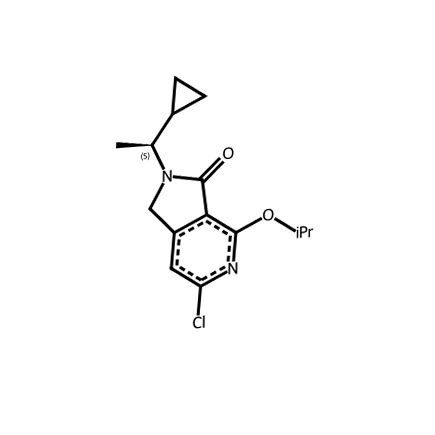 CC(C)Oc1nc(Cl)cc2c1C(=O)N([C@@H](C)C1CC1)C2